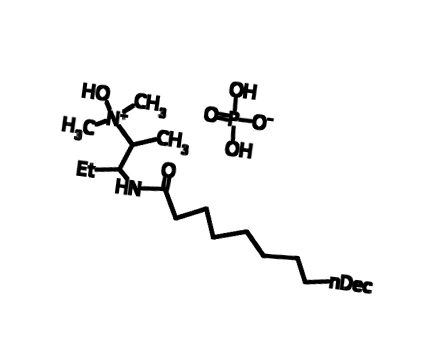 CCCCCCCCCCCCCCCCCC(=O)NC(CC)C(C)[N+](C)(C)O.O=P([O-])(O)O